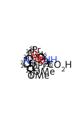 COc1cc2c(cc1OC)[C@H]1C[C@@H](OC(=O)/C=C\C(=O)N[C@H](C(=O)O)C(C)C)[C@H](CC(C)C)CN1CC2